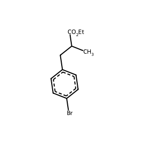 CCOC(=O)C(C)Cc1ccc(Br)cc1